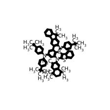 Cc1cc2c(cc1N1c3cc(N(c4ccc(C(C)(C)C)cc4)c4ccc(C(C)(C)C)cc4)cc4c3B(c3c1sc1ccccc31)N(c1ccc(C(C)(C)C)cc1)c1cc3c(cc1-4)-c1ccccc1C3(C)C)C(C)(C)CCC2(C)C